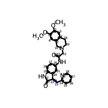 COc1cc2c(cc1OC)CN(CC(=O)Nc1ccc3c(c1)/C(=C\c1ccccn1)C(=O)N3)CC2